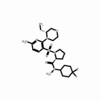 Cc1ccc(S(=O)(=O)N2CCC[C@H]2C(=O)N(C)C2CCC(F)(F)CC2)c(N2CCOC[C@H]2CC(F)(F)F)n1